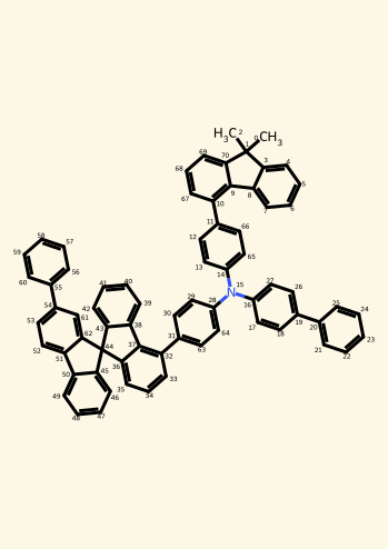 CC1(C)c2ccccc2-c2c(-c3ccc(N(c4ccc(-c5ccccc5)cc4)c4ccc(-c5cccc6c5-c5ccccc5C65c6ccccc6-c6ccc(-c7ccccc7)cc65)cc4)cc3)cccc21